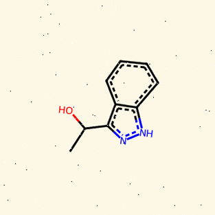 CC(O)c1n[nH]c2c[c]ccc12